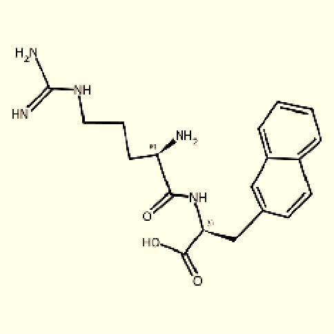 N=C(N)NCCC[C@@H](N)C(=O)N[C@@H](Cc1ccc2ccccc2c1)C(=O)O